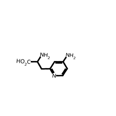 Nc1ccnc(CC(N)C(=O)O)c1